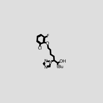 CC(C)(C)C(O)C(CCCCOc1c(F)cccc1Cl)n1cncn1